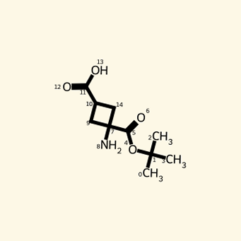 CC(C)(C)OC(=O)C1(N)CC(C(=O)O)C1